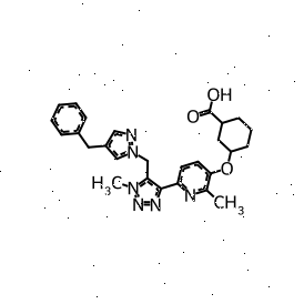 Cc1nc(-c2nnn(C)c2Cn2cc(Cc3ccccc3)cn2)ccc1OC1CCCC(C(=O)O)C1